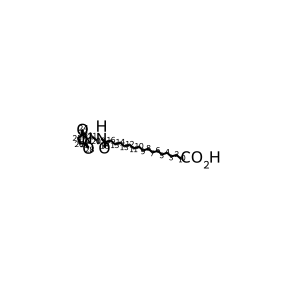 O=C(O)CCCCCCCCCCCCCCCCC(=O)NCCN1C(=O)C=CC1=O